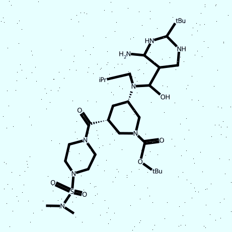 CC(C)CN(C(O)C1CNC(C(C)(C)C)NC1N)[C@H]1C[C@@H](C(=O)N2CCN(S(=O)(=O)N(C)C)CC2)CN(C(=O)OC(C)(C)C)C1